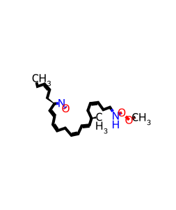 CC/C=C\C[C@H](/C=C/C=C\C/C=C\C=C\[C@H](C)C/C=C\CCNOOC)N=O